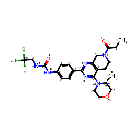 CCC(=O)N1CCc2c(nc(-c3ccc(NC(=O)NCC(F)(F)F)cc3)nc2N2CCOC[C@@H]2C)C1